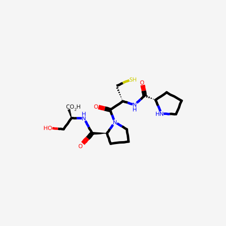 O=C(O)[C@H](CO)NC(=O)[C@@H]1CCCN1C(=O)[C@H](CS)NC(=O)[C@@H]1CCCN1